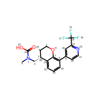 CN(C[C@@H]1CCOc2c(-c3ccnc(C(F)(F)F)c3)cccc21)C(=O)O